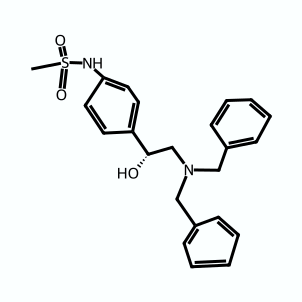 CS(=O)(=O)Nc1ccc([C@@H](O)CN(Cc2ccccc2)Cc2ccccc2)cc1